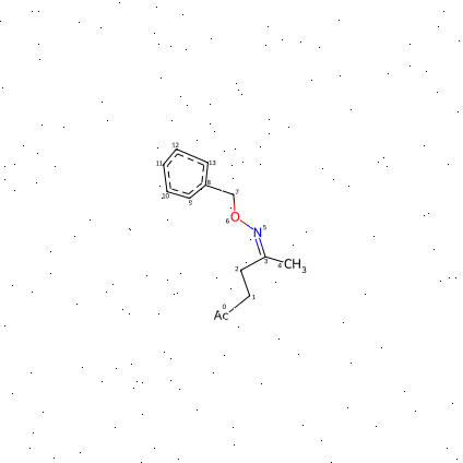 CC(=O)CCC(C)=NOCc1ccccc1